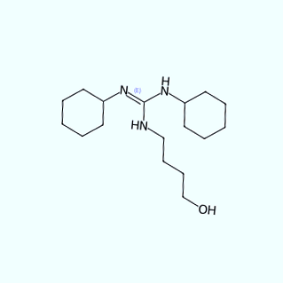 OCCCCN/C(=N\C1CCCCC1)NC1CCCCC1